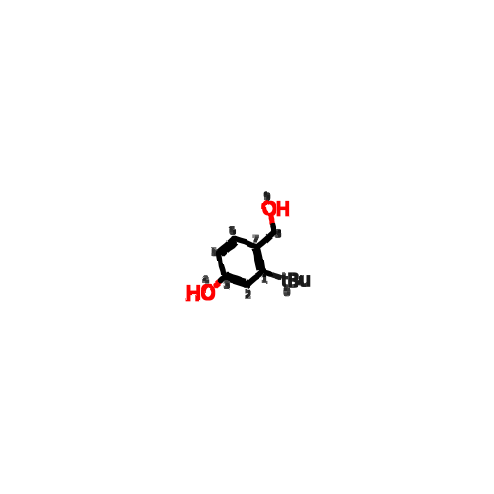 CC(C)(C)c1cc(O)ccc1CO